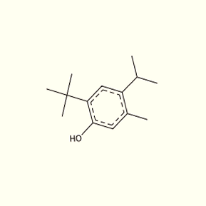 Cc1cc(O)c(C(C)(C)C)cc1C(C)C